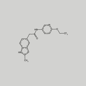 Cc1cc2cc(CC(=O)Nc3ccc(OCC(F)(F)F)nc3)ccc2[nH]1